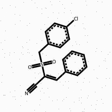 N#CC(=Cc1ccccc1)S(=O)(=O)Cc1ccc(Cl)cc1